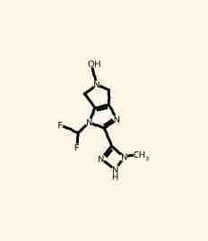 Cn1[nH]nc1-c1nc2c(n1C(F)F)CN(O)C2